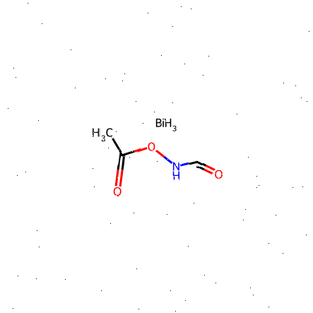 CC(=O)ONC=O.[BiH3]